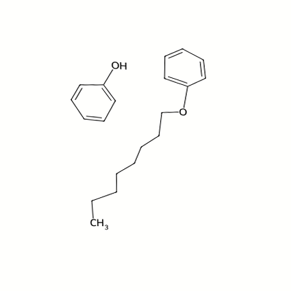 CCCCCCCCOc1ccccc1.Oc1ccccc1